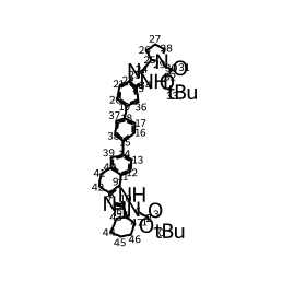 CC(C)(C)OC(=O)NC1(c2nc3c([nH]2)-c2ccc(-c4ccc(-c5ccc6nc(C7CCCN7C(=O)OC(C)(C)C)[nH]c6c5)cc4)cc2CC3)CCCCC1